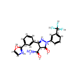 NC(=O)C1C(=O)N(c2cccc(C(F)(F)F)c2)N=C1c1cccc(-c2ncco2)c1